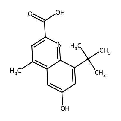 Cc1cc(C(=O)O)nc2c(C(C)(C)C)cc(O)cc12